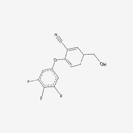 N#CC1=CC(CO)CC=C1Oc1cc(F)c(F)c(F)c1